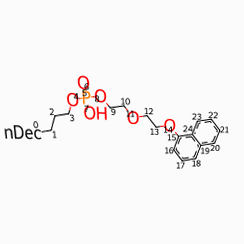 CCCCCCCCCCCCCOP(=O)(O)OCCOCCOc1cccc2ccccc12